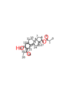 CCC(=O)OC1CCC2C3CCc4cc(O)c(C(=O)CC)cc4C3CC[C@]12C